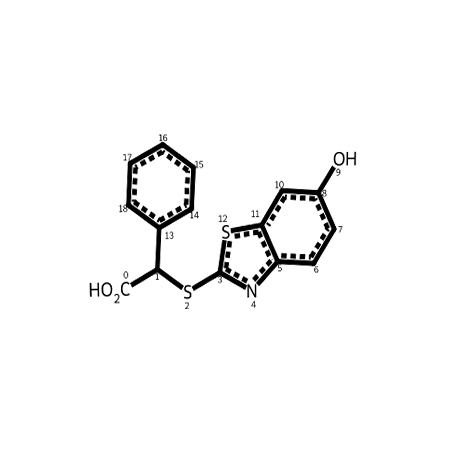 O=C(O)C(Sc1nc2ccc(O)cc2s1)c1ccccc1